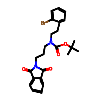 CC(C)(C)OC(=O)N(CCCN1C(=O)c2ccccc2C1=O)CCc1ccccc1Br